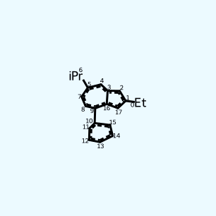 CCc1cc2cc(C(C)C)ccc(-c3ccccc3)c-2c1